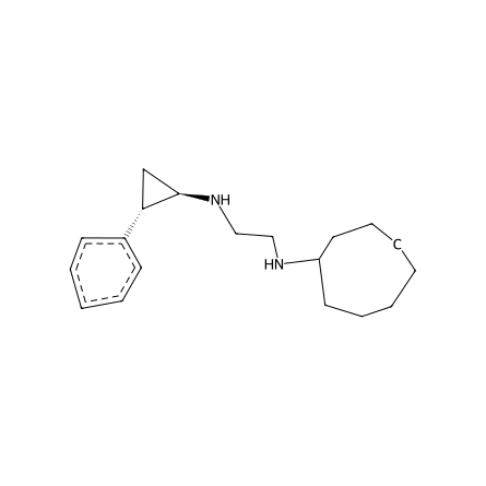 c1ccc([C@@H]2C[C@H]2NCCNC2CCCCCCC2)cc1